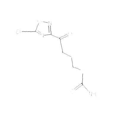 CCc1nc(C(=O)CCCOC(N)=O)no1